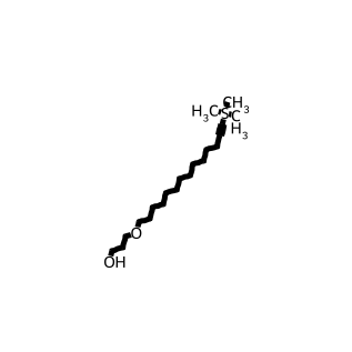 CS(C)(C)C#CCCCCCCCCCCCCOCCCO